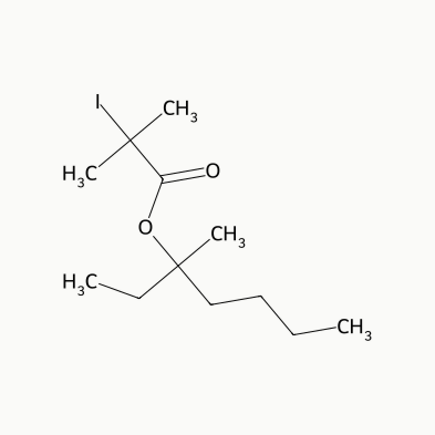 CCCCC(C)(CC)OC(=O)C(C)(C)I